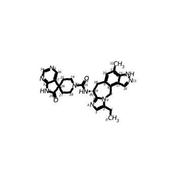 CCc1cnc2n1Cc1c(cc(C)c3[nH]ncc13)C[C@H]2NC(=O)N1CCC2(CC1)C(=O)Nc1ncncc12